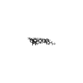 CCCC1CCC(COC2CCC(c3ccc(OCC)c(F)c3F)CC2)OC1